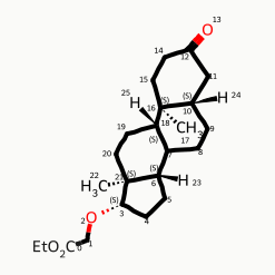 CCOC(=O)CO[C@H]1CC[C@H]2C3CC[C@H]4CC(=O)CC[C@]4(C)[C@H]3CC[C@]12C